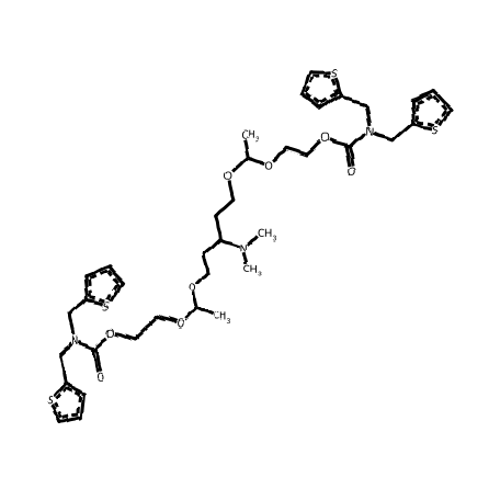 CC(OCCOC(=O)N(Cc1cccs1)Cc1cccs1)OCCC(CCOC(C)OCCOC(=O)N(Cc1cccs1)Cc1cccs1)N(C)C